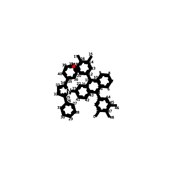 Cc1cc(-c2c3ccccc3c(-c3cc(C)c(C)c(C)c3)c3cc(-n4c(-c5ccccc5)ccc4-c4ccccc4)ccc23)cc(C)c1C